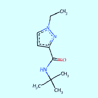 CCn1ccc(C(=O)NC(C)(C)C)n1